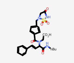 CCCCNC(=O)C(/C=C/c1ccccc1)N(CC(=O)O)C(=O)c1ccc(CN2CC(=O)NS2(=O)=O)cc1